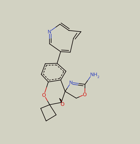 NC1=NC2(CO1)c1cc(C3=C/C=C/C=C/N=C\3)ccc1OC1(CCC1)C21COC1